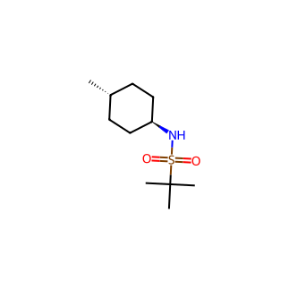 CC(C)(C)S(=O)(=O)N[C@H]1CC[C@H](C)CC1